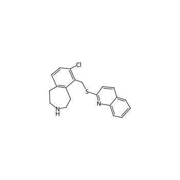 Clc1ccc2c(c1CSc1ccc3ccccc3n1)CCNCC2